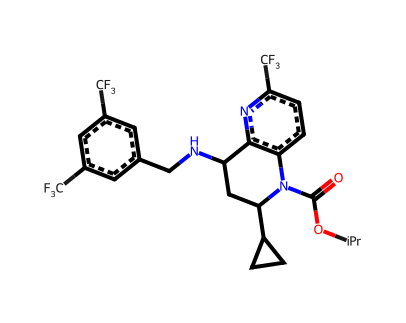 CC(C)OC(=O)N1c2ccc(C(F)(F)F)nc2C(NCc2cc(C(F)(F)F)cc(C(F)(F)F)c2)CC1C1CC1